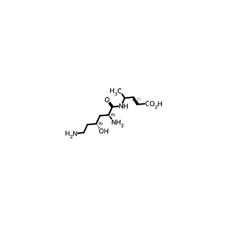 CC(/C=C/C(=O)O)NC(=O)[C@@H](N)C[C@H](O)CCN